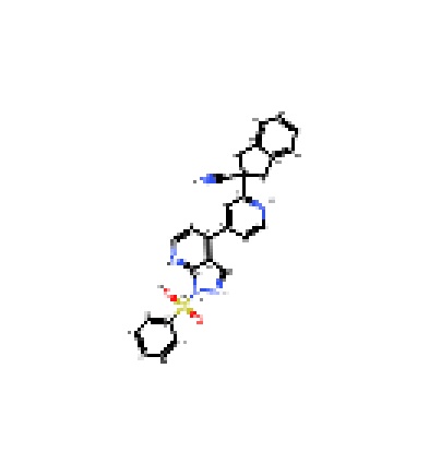 N#CC1(c2cc(-c3ccnc4c3cnn4S(=O)(=O)c3ccccc3)ccn2)Cc2ccccc2C1